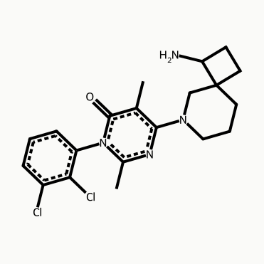 Cc1c(N2CCCC3(CCC3N)C2)nc(C)n(-c2cccc(Cl)c2Cl)c1=O